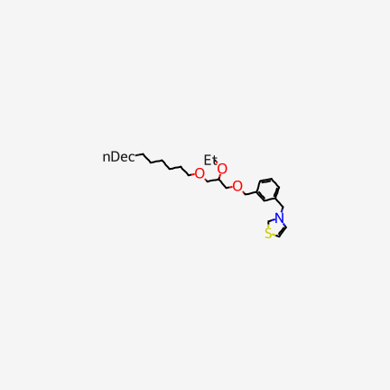 CCCCCCCCCCCCCCCCOCC(COCc1cccc(CN2C=CSC2)c1)OCC